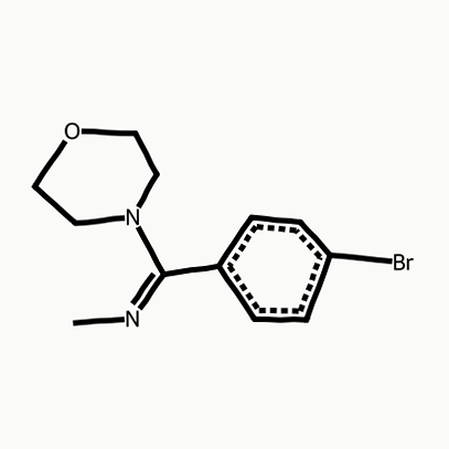 CN=C(c1ccc(Br)cc1)N1CCOCC1